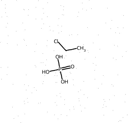 CCCl.O=P(O)(O)O